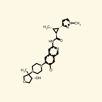 C[C@H]1[C@H](C(=O)Nc2cc3cc(N4CCN([C@@]5(C)COC[C@H]5O)CC4)c(Cl)cc3cn2)[C@H]1c1ccn(C)n1